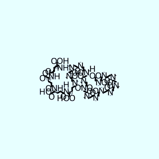 CN(CC(=O)O)C(=O)CN(C)C(=O)CN(C)C(=O)CN(C)C(=O)CN(C)C(=O)CN(C)C(=O)CN(C)C(=O)CN(C)C(=O)CN(C)C(=O)CN(C)C(=O)CN(C)C(=O)CN(C)C(=O)CN(C)C(=O)CN(C)C(=O)CN(C)C(=O)CC[C@H](NC(=O)CC[C@H](NC(=O)CC[C@H](NC(=O)CC[C@H](N)C(=O)O)C(=O)O)C(=O)O)C(=O)O